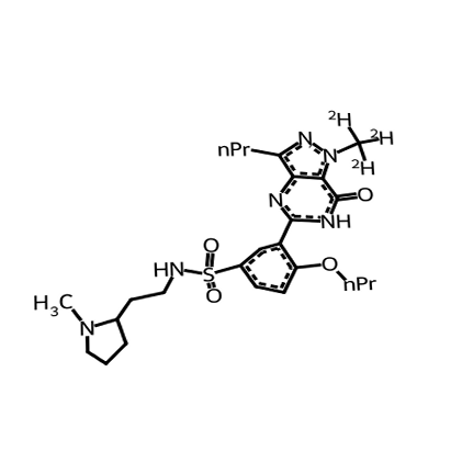 [2H]C([2H])([2H])n1nc(CCC)c2nc(-c3cc(S(=O)(=O)NCCC4CCCN4C)ccc3OCCC)[nH]c(=O)c21